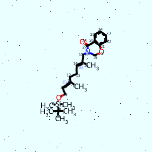 C/C(=C\CO[Si](C)(C)C(C)(C)C)CC/C=C(\C)CN1COc2ccccc2C1=O